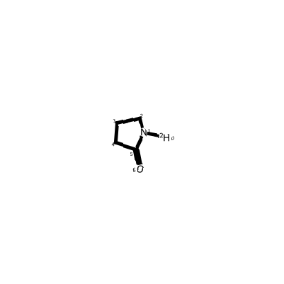 [2H]N1CCCC1=O